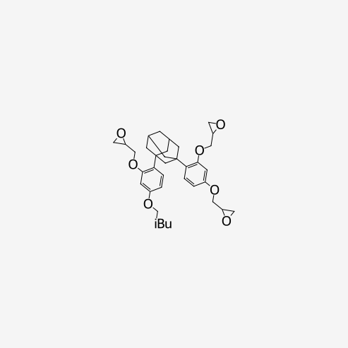 CCC(C)COc1ccc(C23CC4CC(C2)CC(c2ccc(OCC5CO5)cc2OCC2CO2)(C4)C3)c(OCC2CO2)c1